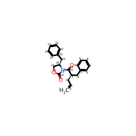 C=CC[C@H](Cc1ccccc1)C(=O)N1C(=O)OC[C@H]1Cc1ccccc1